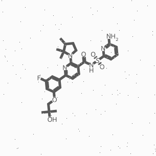 CC1CCN(c2nc(-c3cc(F)cc(OCC(C)(C)O)c3)ccc2C(=O)NS(=O)(=O)c2cccc(N)n2)C1(C)C